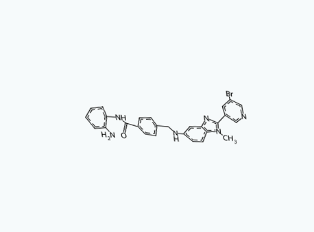 Cn1c(-c2cncc(Br)c2)nc2cc(NCc3ccc(C(=O)Nc4ccccc4N)cc3)ccc21